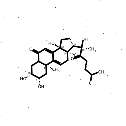 CC(C)CCC(=O)[C@](C)(O)[C@H]1CC[C@@]2(O)C3=CC(=O)C4C[C@@H](O)[C@@H](O)C[C@]4(C)C3=CC[C@]12C